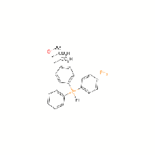 CC(=O)O.CC(=O)O.CC(=O)[O-].CC[P+](c1ccccc1)(c1ccccc1)c1ccccc1.P